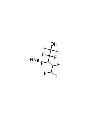 OC(F)(F)C(F)(F)C(F)C(F)C(F)F.[NaH]